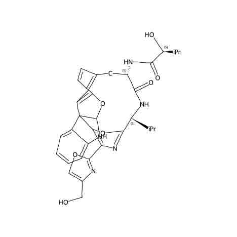 CC(C)[C@H](O)C(=O)N[C@H]1Cc2ccc3c(c2)C2(c4ccccc4NC2O3)c2oc(nc2-c2nc(CO)co2)[C@H](C(C)C)NC1=O